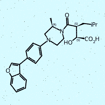 CC(C)C[C@H](C(=O)N1CCN(c2ccc(-c3coc4ccccc34)cc2)C[C@H]1C)[C@H](O)C(=O)O